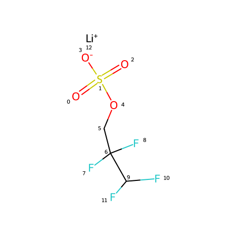 O=S(=O)([O-])OCC(F)(F)C(F)F.[Li+]